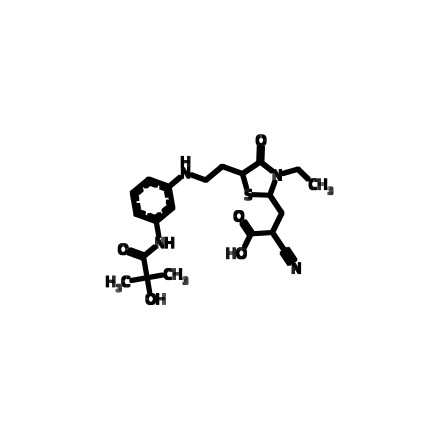 CCN1C(=O)C(CCNc2cccc(NC(=O)C(C)(C)O)c2)SC1CC(C#N)C(=O)O